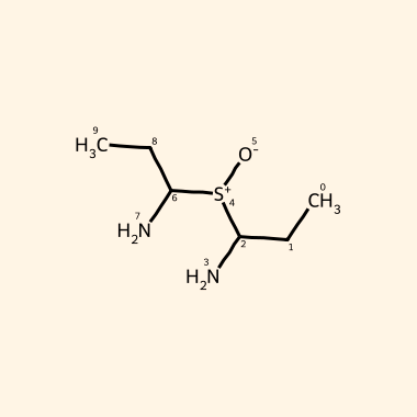 CCC(N)[S+]([O-])C(N)CC